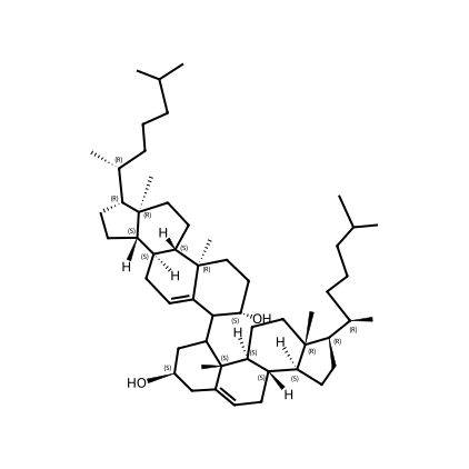 CC(C)CCC[C@@H](C)[C@H]1CC[C@H]2[C@@H]3CC=C4C(C5C[C@H](O)CC6=CC[C@H]7[C@@H]8CC[C@H]([C@H](C)CCCC(C)C)[C@@]8(C)CC[C@@H]7[C@]65C)[C@@H](O)CC[C@]4(C)[C@H]3CC[C@]12C